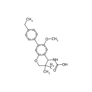 CCc1ccc(-c2cc3c(cc2OC)C(NC(=O)O)C(C)(C)CO3)cc1